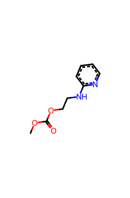 COC(=O)OCCNc1ccccn1